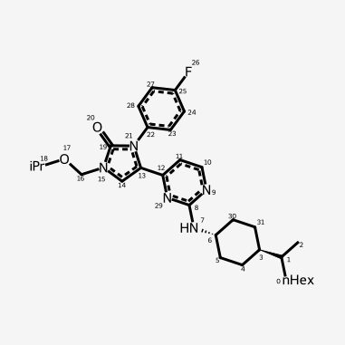 CCCCCCC(C)[C@H]1CC[C@H](Nc2nccc(-c3cn(COC(C)C)c(=O)n3-c3ccc(F)cc3)n2)CC1